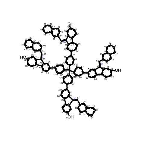 Oc1ccc2c(c1)/C(=C\c1ccc3ccccc3c1)c1cc(-c3ccc(C(c4ccc(-c5ccc6c(c5)/C(=C/c5ccc7ccccc7c5)c5cc(O)ccc5-6)cc4)(c4ccc(-c5ccc6c(c5)/C(=C/c5ccc7ccccc7c5)c5cc(O)ccc5-6)cc4)c4ccc(-c5ccc6c(c5)/C(=C/c5ccc7ccccc7c5)c5cc(O)ccc5-6)cc4)cc3)ccc1-2